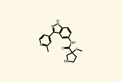 CSC1(C(=O)Nc2ccc3[nH]nc(-c4ccnc(C)c4)c3c2)CCNC1